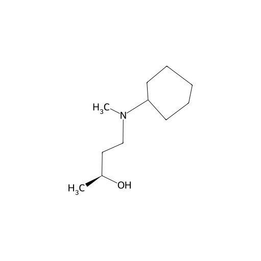 C[C@H](O)CCN(C)C1CCCCC1